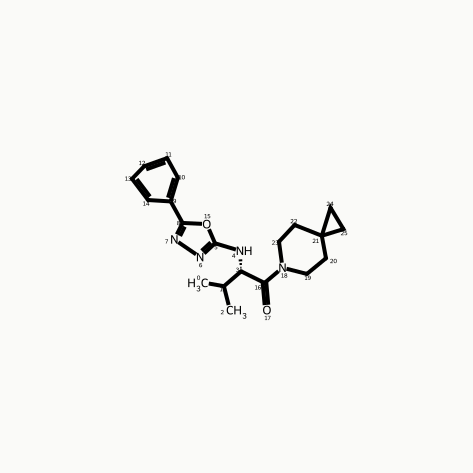 CC(C)[C@H](Nc1nnc(-c2ccccc2)o1)C(=O)N1CCC2(CC1)CC2